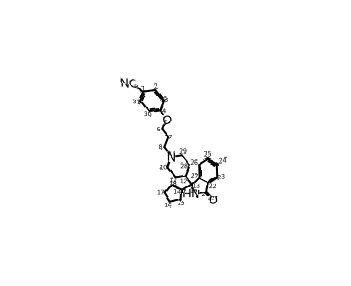 N#Cc1ccc(OCCCN2CCC(C3(C4CCCC4)NC(=O)c4ccccc43)CC2)cc1